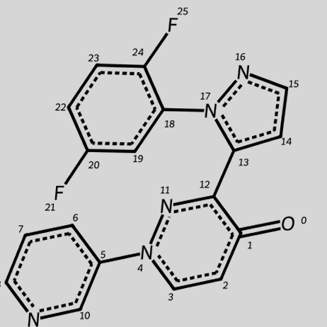 O=c1ccn(-c2cccnc2)nc1-c1ccnn1-c1cc(F)ccc1F